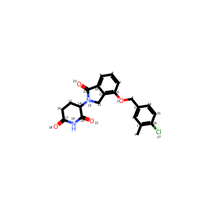 Cc1cc(COc2cccc3c2CN(C2CCC(=O)NC2=O)C3=O)ccc1Cl